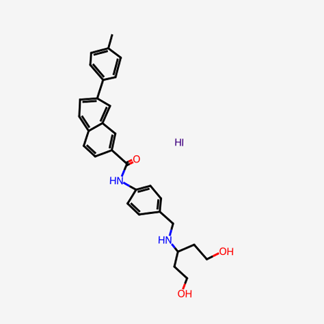 Cc1ccc(-c2ccc3ccc(C(=O)Nc4ccc(CNC(CCO)CCO)cc4)cc3c2)cc1.I